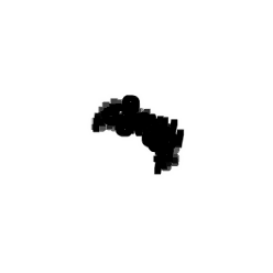 O=C(Nc1ccc(N2C(=O)Cc3ccc(F)cc3C2=O)nc1)NS(=O)(=O)c1ccc(F)s1